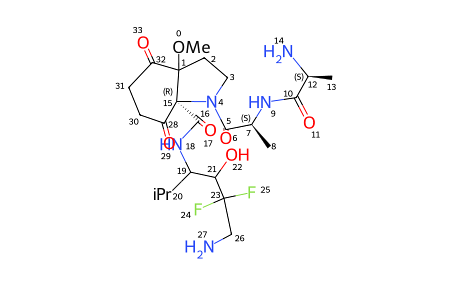 COC12CCN(C(=O)[C@H](C)NC(=O)[C@H](C)N)[C@@]1(C(=O)NC(C(C)C)C(O)C(F)(F)CN)C(=O)CCC2=O